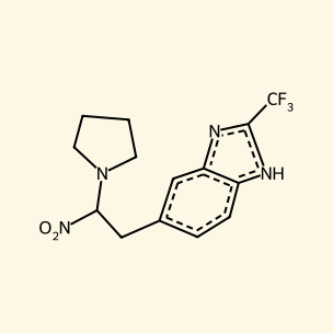 O=[N+]([O-])C(Cc1ccc2[nH]c(C(F)(F)F)nc2c1)N1CCCC1